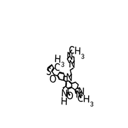 CCN1CCN(CCCn2c3ccc(C(=O)c4sccc4C)cc3c3c4c(c5c(c32)CCc2nn(C)cc2-5)C(=O)NC4)CC1